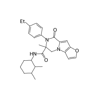 CCc1ccc(N2C(=O)c3cc4occc4n3CC2(C)C(=O)NC2CCCC(C)C2C)cc1